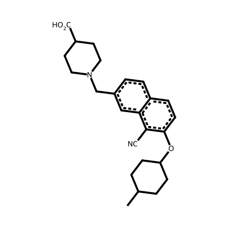 CC1CCC(Oc2ccc3ccc(CN4CCC(C(=O)O)CC4)cc3c2C#N)CC1